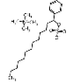 CCCCCCCCCCCCC(OS(=O)(=O)[O-])c1ccccc1.C[N+](C)(C)C